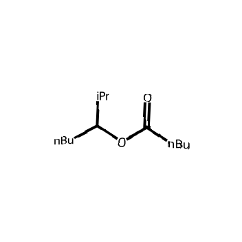 CCCCC(=O)OC(CCCC)C(C)C